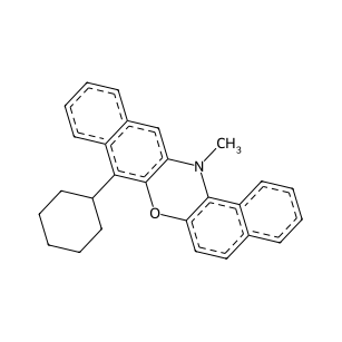 CN1c2cc3ccccc3c(C3CCCCC3)c2Oc2ccc3ccccc3c21